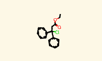 CCOC(=O)CC(Cl)(c1ccccc1)c1ccccc1